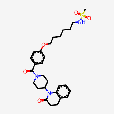 CS(=O)(=O)NCCCCCCOc1ccc(C(=O)N2CCC(N3C(=O)CCc4ccccc43)CC2)cc1